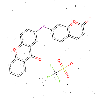 O=S(=O)([O-])C(F)(F)F.O=c1ccc2ccc([I+]c3ccc4oc5ccccc5c(=O)c4c3)cc2o1